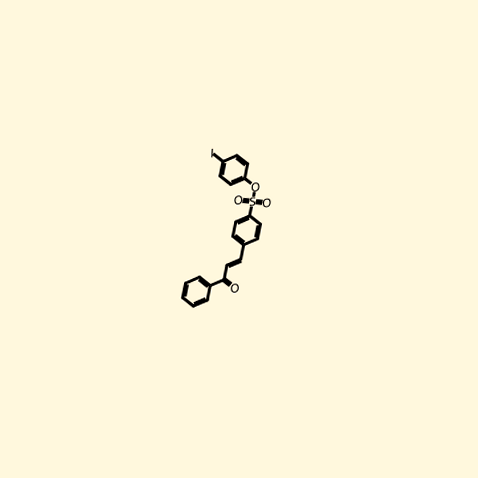 O=C(/C=C/c1ccc(S(=O)(=O)Oc2ccc(I)cc2)cc1)c1ccccc1